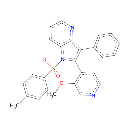 COc1cnccc1-c1c(-c2ccccc2)c2ncccc2n1S(=O)(=O)c1ccc(C)cc1